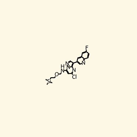 C[Si](C)(C)CCOCNc1cc(Cl)nc2c(-c3cnc4ccc(F)cc4c3)cnn12